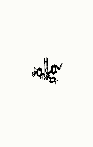 C[S+]([O-])c1ccc(C2NC(c3ccncc3)=C(c3ccc(F)cc3)N2)cc1